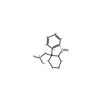 COC1CCCCC1(CN(C)C)c1ccccc1